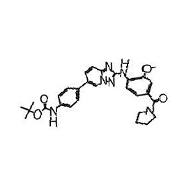 COc1cc(C(=O)N2CCCC2)ccc1Nc1nc2ccc(-c3ccc(NC(=O)OC(C)(C)C)cc3)cn2n1